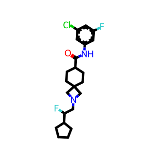 O=C(Nc1cc(F)cc(Cl)c1)C1CCC2(CC1)CN(CC(F)C1CCCC1)C2